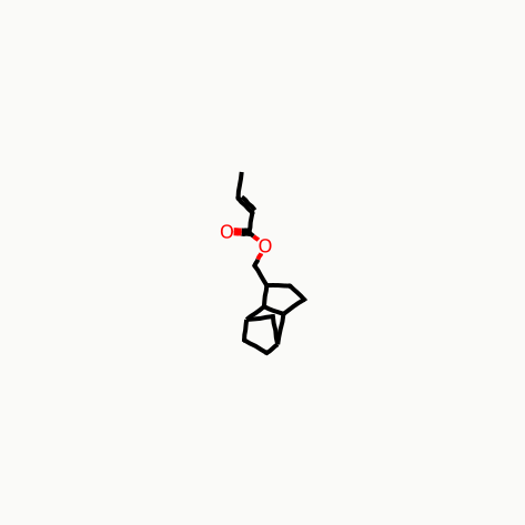 C/C=C/C(=O)OCC1CCC2C3CCC(C3)C12